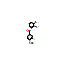 CC(=O)c1c(NC(=O)c2ccc(C)c(F)c2)cccc1C(F)(F)F